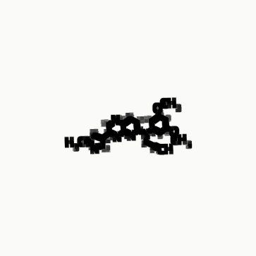 C#CCN(c1cc(OC)cc(OC)c1)c1ccc2ncc(-c3cnn(C)c3)nc2n1